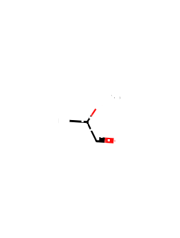 CC(O)C=O.[NaH]